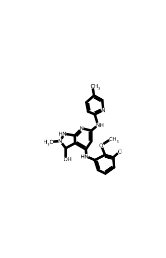 COc1c(Cl)cccc1Nc1cc(Nc2ccc(C)cn2)nc2c1C(O)N(C)N2